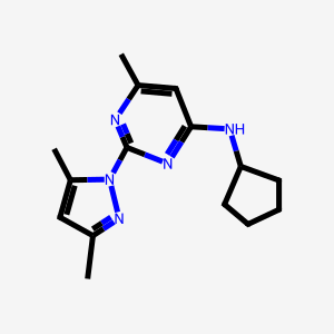 Cc1cc(NC2CCCC2)nc(-n2nc(C)cc2C)n1